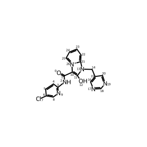 O=C(Nc1ccc(Cl)cn1)c1c(O)n(Cc2cncnc2)c2cccc[n+]12